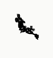 C[C@@H]1CNC(=O)c2cc3ccc(C(=O)Nc4ccc(-c5cnn(C)c5)cc4OC(F)F)nc3n21